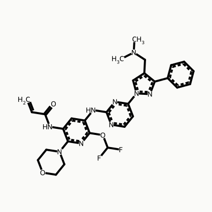 C=CC(=O)Nc1cc(Nc2nccc(-n3cc(CN(C)C)c(-c4ccccc4)n3)n2)c(OC(F)F)nc1N1CCOCC1